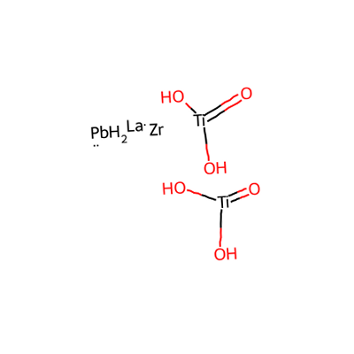 [La].[O]=[Ti]([OH])[OH].[O]=[Ti]([OH])[OH].[PbH2].[Zr]